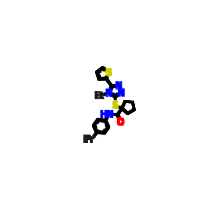 CCn1c(SC2(C(=O)Nc3ccc(C(C)C)cc3)CCCC2)nnc1-c1cccs1